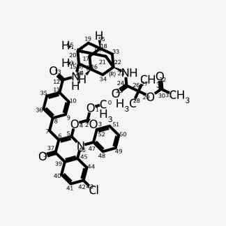 COC(=O)Oc1c(Cc2ccc(C(=O)N[C@@H]3[C@@H]4C[C@@H]5C[C@H]3C[C@](NC(=O)C(C)(C)OC(C)=O)(C5)C4)cc2)c(=O)c2ccc(Cl)cc2n1-c1ccccc1